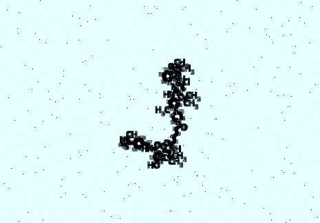 Cc1cc(Nc2ncc(Cl)c(Nc3ccccc3S(=O)(=O)C(C)C)n2)c(OC(C)C)cc1C1CCN(C(=O)CCCCC(=O)NC(C(=O)N2C[C@H](O)C[C@H]2C(=O)NCc2ccc(-c3scnc3C)cc2)C(C)(C)C)CC1